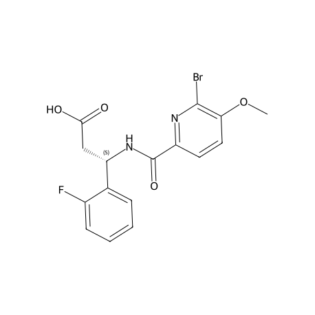 COc1ccc(C(=O)N[C@@H](CC(=O)O)c2ccccc2F)nc1Br